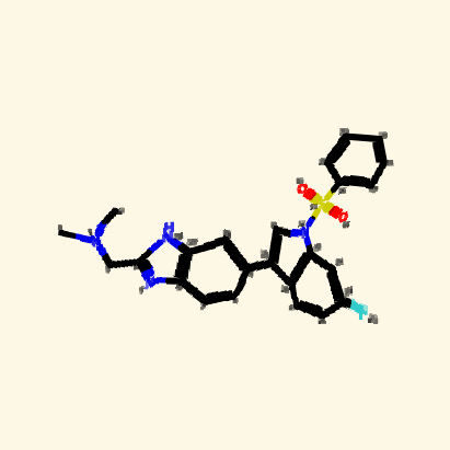 CN(C)Cc1nc2ccc(-c3cn(S(=O)(=O)c4ccccc4)c4cc(F)ccc34)cc2[nH]1